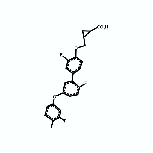 Cc1ccc(Oc2ccc(F)c(-c3ccc(OCC4CC4C(=O)O)c(F)c3)c2)cc1F